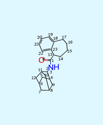 O=C(NC1C2CC3CC(C2)CC1C3)C1CCCCc2ccccc21